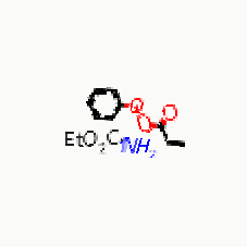 C=CC(=O)OOc1ccccc1.CCOC(N)=O